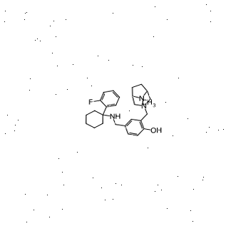 CN1C2CCC1CN(Cc1cc(CNC3(c4ccccc4F)CCCCC3)ccc1O)C2